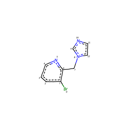 Brc1cccnc1Cn1[c]ncc1